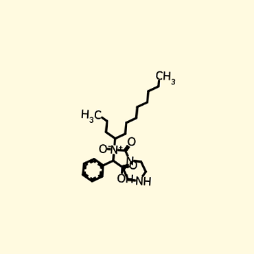 CCCCCCCCC(CCC)[N+]([O-])(C(=O)N1CCNCC1)C(C(=O)O)c1ccccc1